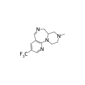 CN1CCN2c3ncc(C(F)(F)F)cc3C=NCC2C1